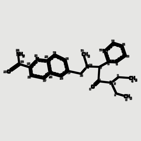 CCN(CC)C(=O)C(c1ccccn1)N(C)Cc1ccc2nc(C(N)=O)ccc2c1